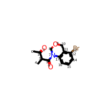 [CH2]C(=O)C(C)C(=O)N1COCc2c(Br)cccc21